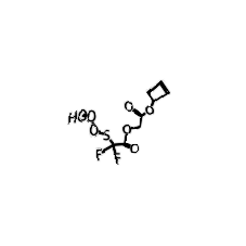 O=C(COC(=O)C(F)(F)SOOO)OC1CCC1